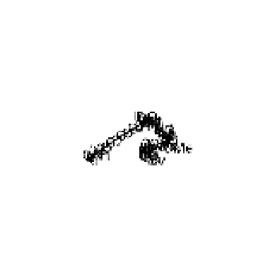 COc1cc2c(cc1OCCCOc1cc3c(cc1OC)C(=O)N1CCC[C@H]1[C@H](O)N3C(=O)OC(C)(C)C)N(C(=O)OCc1ccc(NC(=O)[C@H](C)NC(=O)[C@@H](NC(=O)CCOCCOCCOCCOCCOCCOCCOCCOCCNC(=O)CCN3C(=O)C=CC3=O)C(C)C)cc1)C[C@H]1C(O)CCN1C2=O